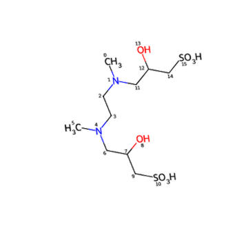 CN(CCN(C)CC(O)CS(=O)(=O)O)CC(O)CS(=O)(=O)O